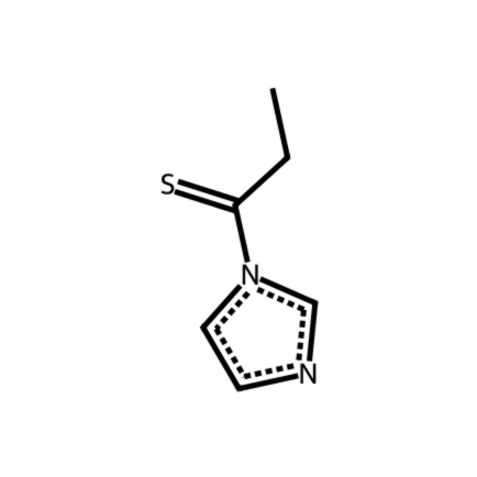 CCC(=S)n1ccnc1